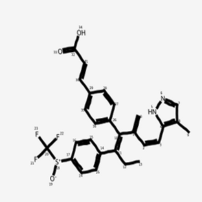 C=C(/C=C\c1[nH]ncc1C)/C(=C(\CC)c1ccc([S+]([O-])C(F)(F)F)cc1)c1ccc(/C=C/C(=O)O)cc1